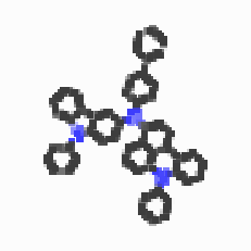 c1ccc(-c2ccc(N(c3ccc4c(c3)c3ccccc3n4-c3ccccc3)c3ccc4c5c(cccc35)N(c3ccccc3)c3ccccc3-4)cc2)cc1